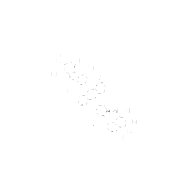 Bc1c(B)c(-c2c(B)c(B)c(B)c3c(B)c(B)c(B)c(B)c23)c(B)c(B)c1-c1c2ccccc2c(-c2c(B)c(B)c3c(oc4c(B)c(B)c(B)c(B)c43)c2B)c2ccccc12